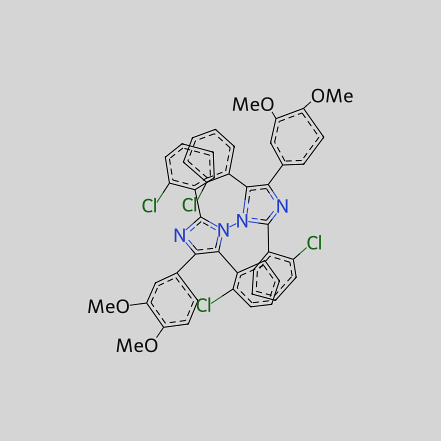 COc1ccc(-c2nc(-c3ccccc3Cl)n(-n3c(-c4ccccc4Cl)nc(-c4ccc(OC)c(OC)c4)c3-c3ccccc3Cl)c2-c2ccccc2Cl)cc1OC